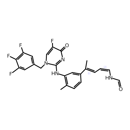 C/C(=C\C=C/NC=O)c1ccc(C)c(Nc2nc(=O)c(F)cn2Cc2cc(F)c(F)c(F)c2)c1